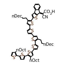 CCCCCCCCCCCCc1cc(-c2ccc(-c3cc(CCCCCCCCCCCC)c(-c4cc5c(s4)/C(=C(\C#N)C(=O)O)c4ccccc4-5)s3)s2)sc1-c1ccc(-c2cc(CCCCCCCC)c(-c3ccc(-c4sccc4CCCCCCCC)s3)s2)s1